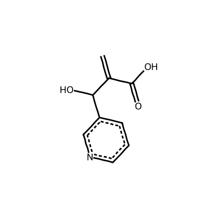 C=C(C(=O)O)C(O)c1cccnc1